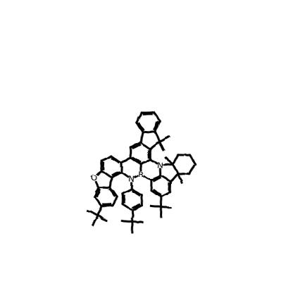 CC(C)(C)c1ccc(N2B3c4cc(C(C)(C)C)cc5c4N(c4c3c(cc3c4C(C)(C)c4ccccc4-3)-c3ccc4oc6cc(C(C)(C)C)ccc6c4c32)C2(C)CCCCC52C)cc1